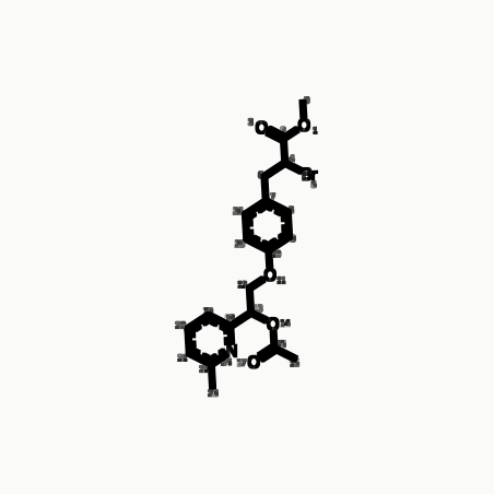 COC(=O)C(Br)Cc1ccc(OCC(OC(C)=O)c2cccc(C)n2)cc1